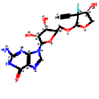 C#C[C@@]1(F)[C@H](OC[C@H]2O[C@@H](n3cnc4c(=O)[nH]c(N)nc43)[C@H](O)[C@@H]2O)OC[C@H]1O